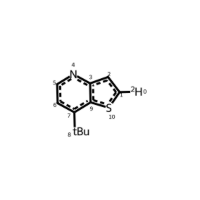 [2H]c1cc2nccc(C(C)(C)C)c2s1